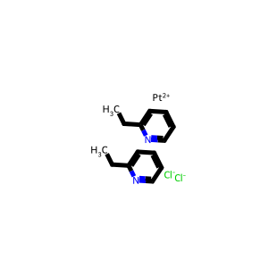 CCc1ccccn1.CCc1ccccn1.[Cl-].[Cl-].[Pt+2]